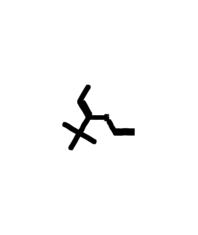 C=CS/C(=C\C)C(C)(C)C